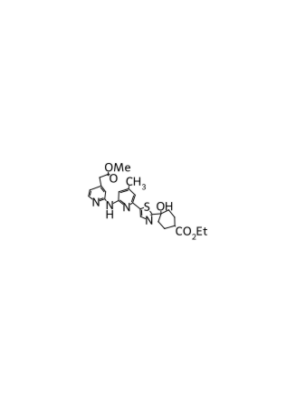 CCOC(=O)C1CCC(O)(c2ncc(-c3cc(C)cc(Nc4cc(CC(=O)OC)ccn4)n3)s2)CC1